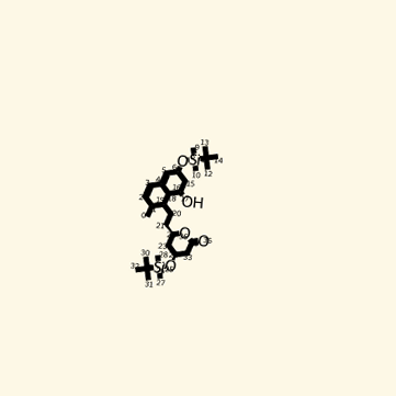 CC1C=CC2=CC(O[Si](C)(C)C(C)(C)C)CC(O)C2C1CC[C@@H]1C[C@H](O[Si](C)(C)C(C)(C)C)CC(=O)O1